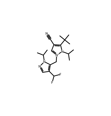 CC(C)n1ncc(C(F)F)c1C[n+]1cc(C#N)c(C(C)(C)C)n1C(C)C